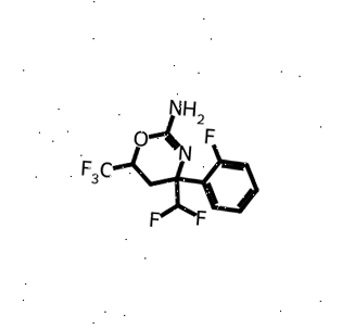 NC1=NC(c2ccccc2F)(C(F)F)CC(C(F)(F)F)O1